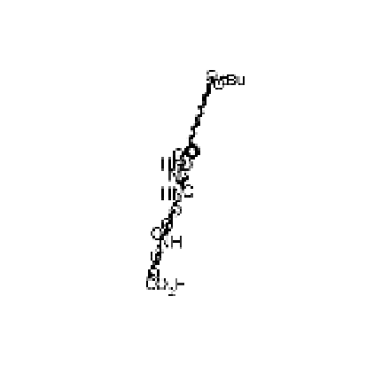 CC(C)(C)OC(=O)CCCCCCCCCCCc1cccc(S(=O)(=O)Nc2ncc(C(=O)NCCOCCOCC(=O)NCCOCCOCC(=O)O)cn2)c1